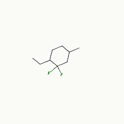 CCC1CCC(C)CC1(F)F